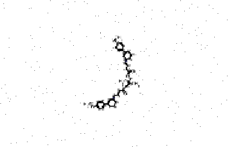 COc1ccc(C2=C/C(=C/CCC(=O)OCC(C)(C)COC(=O)CC/C=C3/C=C(c4ccc(OC)cc4)CCC3)CCC2)cc1